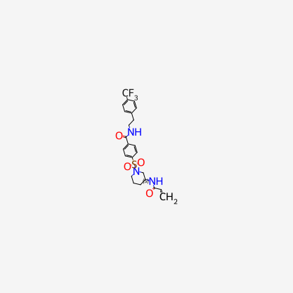 C=CC(=O)N[C@H]1CCCN(S(=O)(=O)c2ccc(C(=O)NCCc3ccc(C(F)(F)F)cc3)cc2)C1